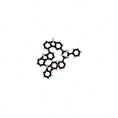 c1ccc(-c2nc(-c3ccccc3)nc(-c3ccc4sc5cccc(-c6cccc7c6oc6cccc(-n8c9ccccc9c9ccccc98)c67)c5c4c3)n2)cc1